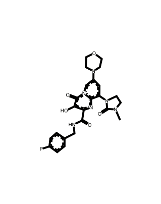 CN1CCN(c2cc(N3CCOCC3)cn3c(=O)c(O)c(C(=O)NCc4ccc(F)cc4)nc23)C1=O